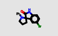 CC(C)N1CCCC12C(=O)Nc1ccc(Br)cc12